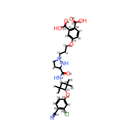 CC1(C)[C@H](NC(=O)C2CCN(CCCOc3ccc(C(=O)O)c(C(=O)O)c3)N2)C(C)(C)[C@H]1Oc1ccc(C#N)c(Cl)c1